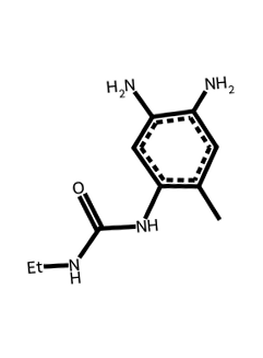 CCNC(=O)Nc1cc(N)c(N)cc1C